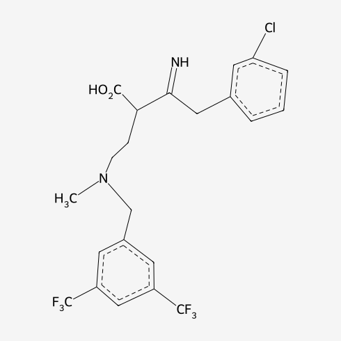 CN(CCC(C(=N)Cc1cccc(Cl)c1)C(=O)O)Cc1cc(C(F)(F)F)cc(C(F)(F)F)c1